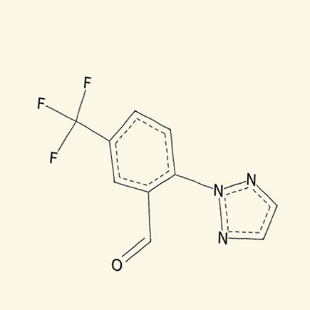 O=Cc1cc(C(F)(F)F)ccc1-n1nccn1